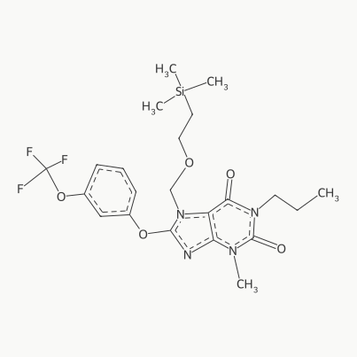 CCCn1c(=O)c2c(nc(Oc3cccc(OC(F)(F)F)c3)n2COCC[Si](C)(C)C)n(C)c1=O